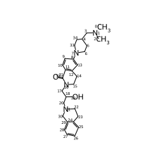 CN(C)CC1CCN(c2ccc3c(c2)CCN(CC(O)CN2CCc4ccccc4C2)C3=O)CC1